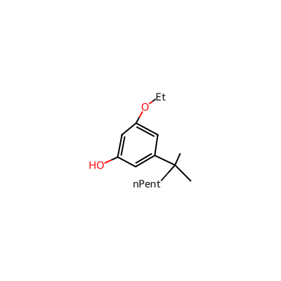 CCCCCC(C)(C)c1cc(O)cc(OCC)c1